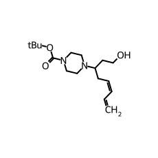 C=C/C=C\CC(CCO)N1CCN(C(=O)OC(C)(C)C)CC1